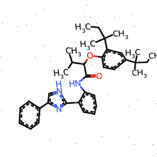 CCC(C)(C)c1ccc(OC(C(=O)Nc2ccccc2-c2nc(-c3ccccc3)c[nH]2)C(C)C)c(C(C)(C)CC)c1